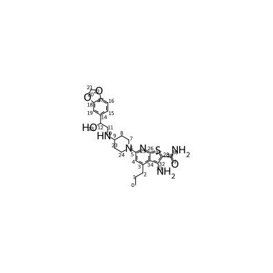 CCCc1cc(N2CCC(NCC(O)c3ccc4c(c3)OCO4)CC2)nc2sc(C(N)=O)c(N)c12